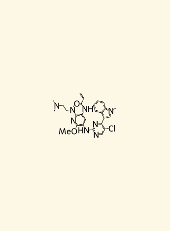 C=CC(=O)Nc1cc(Nc2ncc(Cl)c(-c3cn(C)c4ccccc34)n2)c(OC)nc1N(C)CCN(C)C